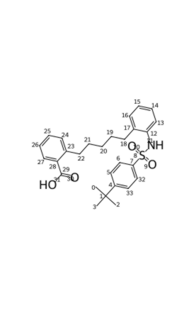 CC(C)(C)c1ccc(S(=O)(=O)Nc2ccccc2CCCCCc2ccccc2C(=O)O)cc1